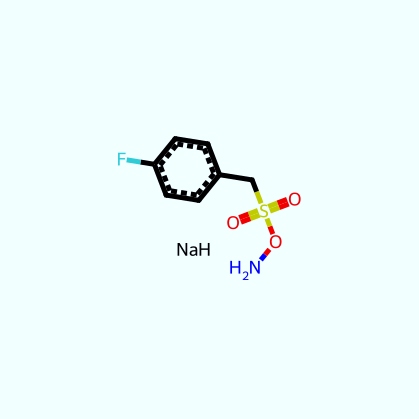 NOS(=O)(=O)Cc1ccc(F)cc1.[NaH]